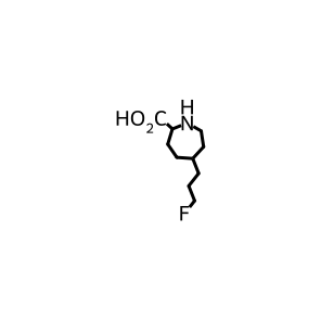 O=C(O)C1CCC(CCCF)CCN1